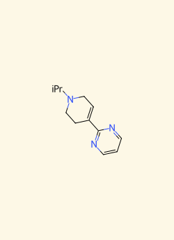 CC(C)N1CC=C(c2ncccn2)CC1